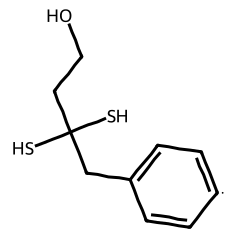 OCCC(S)(S)Cc1cc[c]cc1